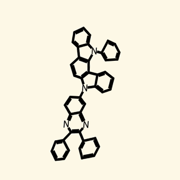 c1ccc(-c2nc3ccc(-n4c5ccccc5c5c4ccc4c6ccccc6n(-c6ccccc6)c45)cc3nc2-c2ccccc2)cc1